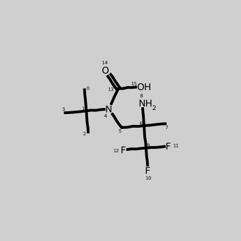 CC(C)(C)N(CC(C)(N)C(F)(F)F)C(=O)O